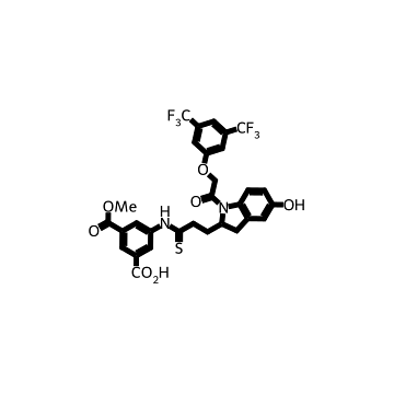 COC(=O)c1cc(NC(=S)CCC2Cc3cc(O)ccc3N2C(=O)COc2cc(C(F)(F)F)cc(C(F)(F)F)c2)cc(C(=O)O)c1